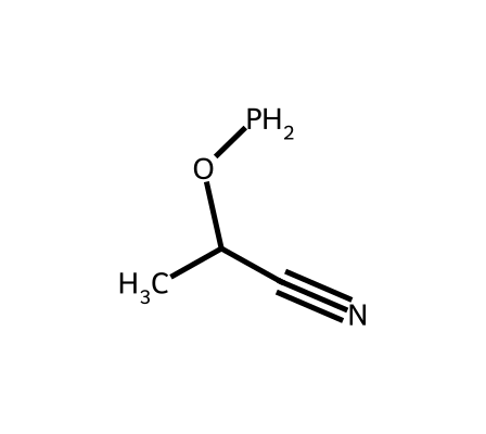 CC(C#N)OP